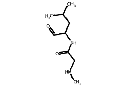 CNCC(=O)NC(C=O)CC(C)C